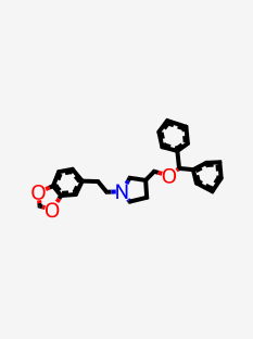 c1ccc(C(OCC2CCN(CCc3ccc4c(c3)OCO4)C2)c2ccccc2)cc1